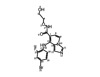 O=C(NOCCO)c1ccn2cncc2c1Nc1ccc(Br)cc1F